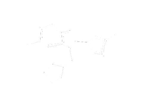 Cn1cc(-c2cc3cnc(Br)cc3n2CC2CCCC2)cn1